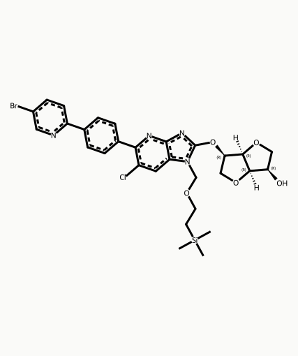 C[Si](C)(C)CCOCn1c(O[C@@H]2CO[C@H]3[C@@H]2OC[C@H]3O)nc2nc(-c3ccc(-c4ccc(Br)cn4)cc3)c(Cl)cc21